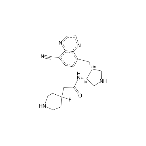 N#Cc1ccc(C[C@@H]2CNC[C@@H]2NC(=O)CC2(F)CCNCC2)c2nccnc12